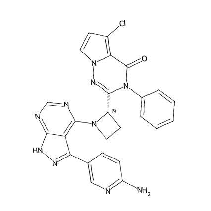 Nc1ccc(-c2n[nH]c3ncnc(N4CC[C@H]4c4nn5ccc(Cl)c5c(=O)n4-c4ccccc4)c23)cn1